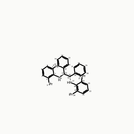 CC(C)c1cccc(C(C)C)c1N[C@@H](c1ccccc1)[C@@H](Nc1c(C(C)C)cccc1C(C)C)c1ccccc1